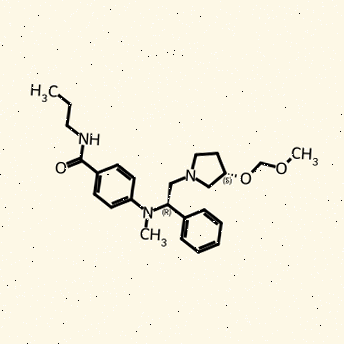 CCCNC(=O)c1ccc(N(C)[C@@H](CN2CC[C@H](OCOC)C2)c2ccccc2)cc1